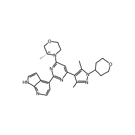 Cc1nn(C2CCOCC2)c(C)c1-c1cc(N2CCOC[C@H]2C)nc(-c2ccnc3[nH]ccc23)n1